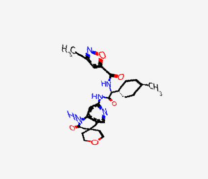 Cc1cc(C(=O)N[C@H](C(=O)Nc2cc3c(cn2)C2(CCOCC2)C(=O)N3)[C@H]2CC[C@H](C)CC2)on1